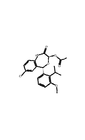 COc1cccc([C@H]2O[C@H](OC(C)=O)C(=O)Nc3ccc(Cl)cc32)c1C(C)C